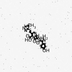 Cn1cnnc1SCC1=C(C(=O)O)N2C(=O)C(NC(=O)C(N)c3ccc(O)cc3)[C@H]2SC1